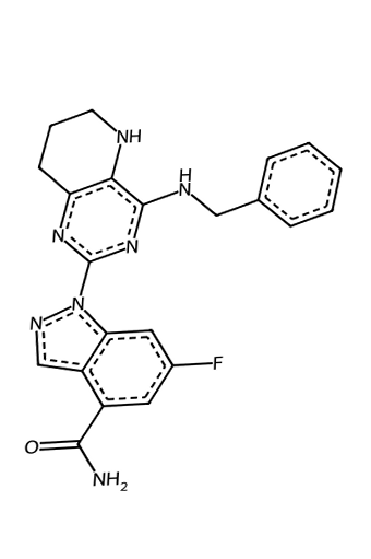 NC(=O)c1cc(F)cc2c1cnn2-c1nc2c(c(NCc3ccccc3)n1)NCCC2